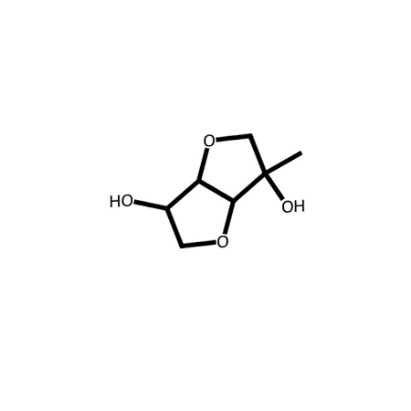 CC1(O)COC2C(O)COC21